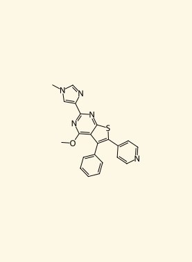 COc1nc(-c2cn(C)cn2)nc2sc(-c3ccncc3)c(-c3ccccc3)c12